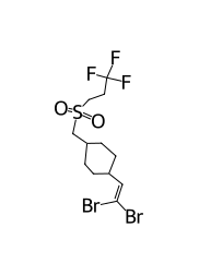 O=S(=O)(CCC(F)(F)F)CC1CCC(C=C(Br)Br)CC1